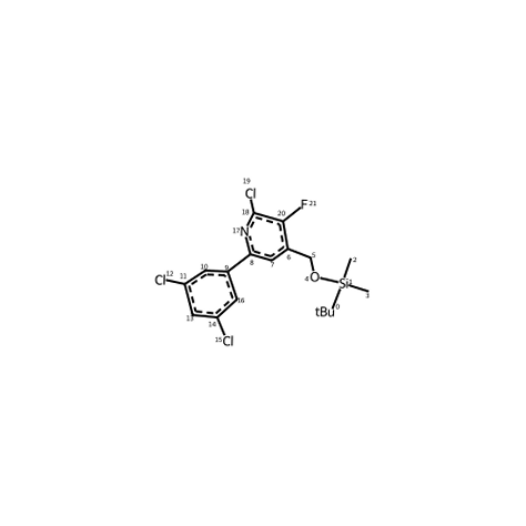 CC(C)(C)[Si](C)(C)OCc1cc(-c2cc(Cl)cc(Cl)c2)nc(Cl)c1F